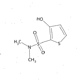 CN(C)S(=O)(=O)c1sccc1O